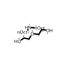 CCCCCCCCNCCCCCCCC.OCCOCCO